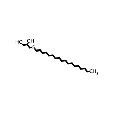 CCCCCCCCCCCCCCCCC=CSCC(O)CO